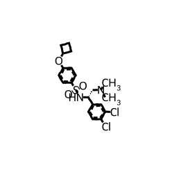 CN(C)C[C@@H](NS(=O)(=O)c1ccc(OC2CCC2)cc1)c1ccc(Cl)c(Cl)c1